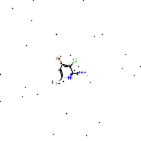 Cc1cc(Br)c(Cl)c(N)n1